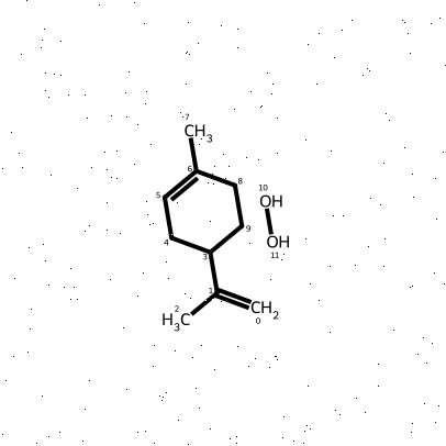 C=C(C)C1CC=C(C)CC1.OO